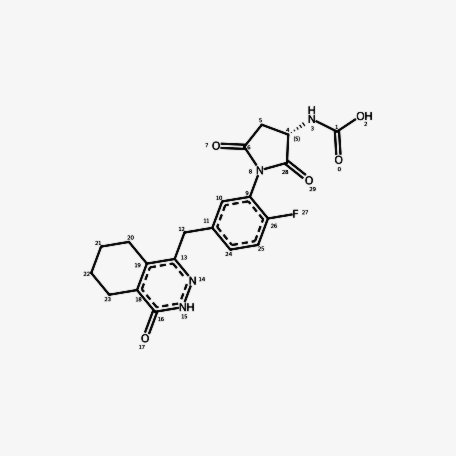 O=C(O)N[C@H]1CC(=O)N(c2cc(Cc3n[nH]c(=O)c4c3CCCC4)ccc2F)C1=O